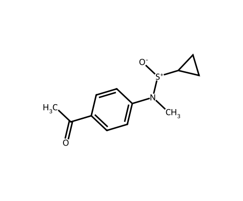 CC(=O)c1ccc(N(C)[S+]([O-])C2CC2)cc1